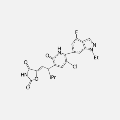 CCn1ncc2c(F)cc(-c3[nH]c(=O)c(C(C=C4OC(=O)NC4=O)C(C)C)cc3Cl)cc21